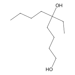 CCCCC(O)(CC)CCCCO